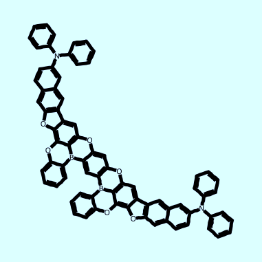 c1ccc(N(c2ccccc2)c2ccc3cc4oc5c6c7c(cc5c4cc3c2)Oc2cc3c(cc2B7c2ccccc2O6)B2c4ccccc4Oc4c2c(cc2c4oc4cc5ccc(N(c6ccccc6)c6ccccc6)cc5cc42)O3)cc1